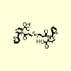 O=C(O)[C@@H]1CSC(c2cccs2)N1C(=O)CCSSCCC(=O)N1C(c2cccs2)SC[C@H]1C(=O)O